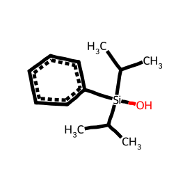 CC(C)[Si](O)(c1ccccc1)C(C)C